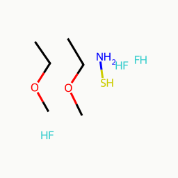 CCOC.CCOC.F.F.F.NS